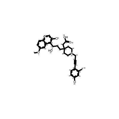 COc1ccc2ncc(Cl)c([C@@H](O)CCC3(CC(=O)O)CCN(CC#Cc4ccc(Cl)cc4F)CC3)c2c1